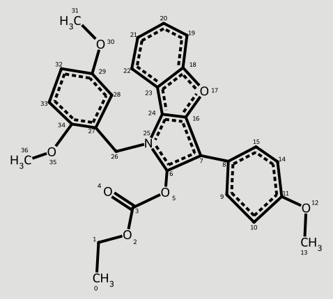 CCOC(=O)Oc1c(-c2ccc(OC)cc2)c2oc3ccccc3c2n1Cc1cc(OC)ccc1OC